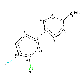 Cc1ccc(-c2ccc(F)c(Cl)c2)cc1